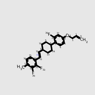 C=CCOc1ccc(C2CCC(/C=C/c3ccc(C)c(F)c3F)CC2)c(F)c1